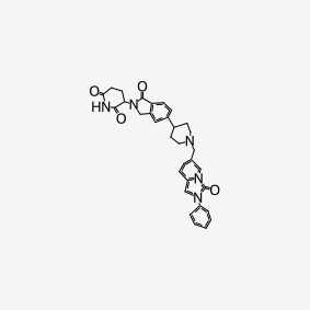 O=C1CCC(N2Cc3cc(C4CCN(Cc5ccc6cn(-c7ccccc7)c(=O)n6c5)CC4)ccc3C2=O)C(=O)N1